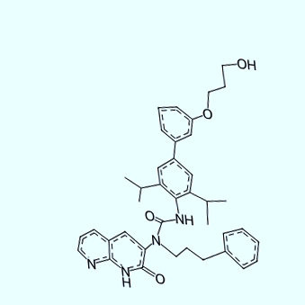 CC(C)c1cc(-c2cccc(OCCCO)c2)cc(C(C)C)c1NC(=O)N(CCCc1ccccc1)c1cc2cccnc2[nH]c1=O